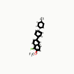 CC[C@H]1CC[C@H](c2ccc(-c3ccc4c(F)c(OC(F)(F)F)ccc4c3)cc2)CC1